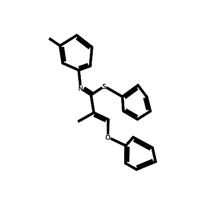 CC(=C\Oc1ccccc1)/C(=N/c1cccc(C)c1)Sc1ccccc1